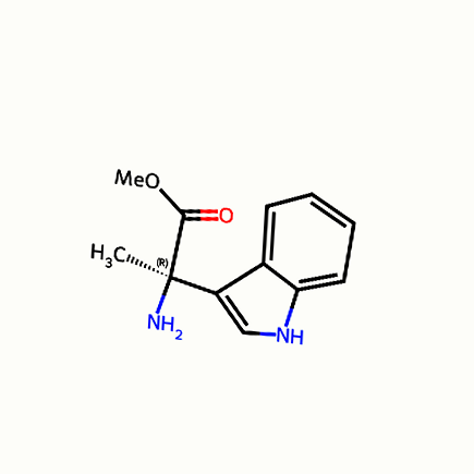 COC(=O)[C@](C)(N)c1c[nH]c2ccccc12